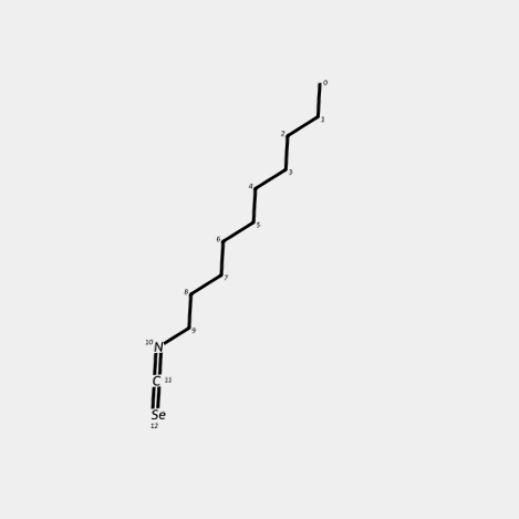 CCCCCCCCCCN=C=[Se]